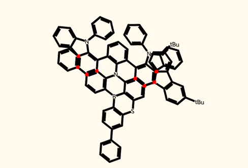 CC(C)(C)c1ccc2c(c1)c1cc(C(C)(C)C)ccc1n2-c1cc2c3c(c1)N(c1c(-c4cccc5c6ccccc6n(-c6ccccc6)c45)cccc1-c1cccc4c5ccccc5n(-c5ccccc5)c14)c1cc(-c4ccccc4)ccc1B3c1ccc(-c3ccccc3)cc1S2